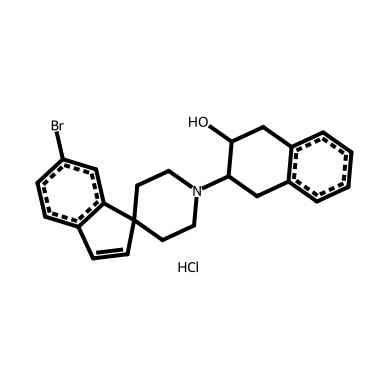 Cl.OC1Cc2ccccc2CC1N1CCC2(C=Cc3ccc(Br)cc32)CC1